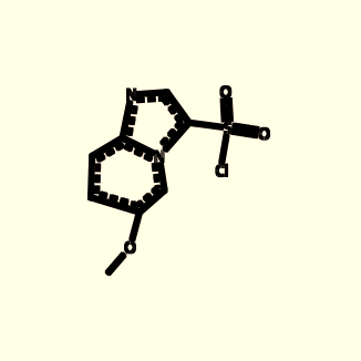 COc1ccc2ncc(S(=O)(=O)Cl)n2c1